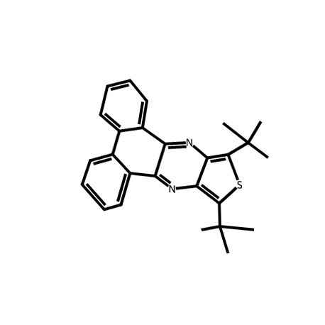 CC(C)(C)c1sc(C(C)(C)C)c2nc3c4ccccc4c4ccccc4c3nc12